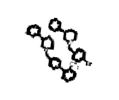 Brc1ccc(CN2CCCC(c3ccccc3)C2)cc1.FC(F)(F)c1ccccc1-c1ccc(CN2CCCC(c3ccccc3)C2)cc1